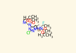 C[C@H](F)[C@@H](Cc1cc2c(N(Cc3ncco3)C(=O)OC(C)(C)C)nc(Cl)nn2c1Br)NC(=O)OC(C)(C)C